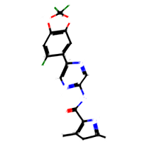 CC1=NC(C(=O)Nc2cnc(-c3cc4c(cc3Cl)OC(F)(F)O4)cn2)=C(C)C1